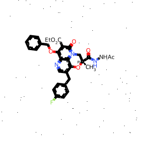 CCOC(=O)c1c(OCc2ccccc2)c2ncc(Cc3ccc(F)cc3)c3c2n(c1=O)C[C@](C)(C(=O)NNC(C)=O)O3